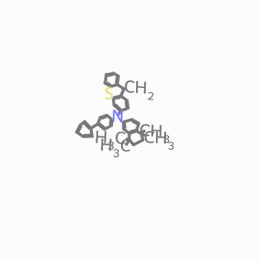 C=C1c2ccccc2Sc2cc(N(c3ccc(-c4ccccc4)cc3)c3ccc4c(c3)C(C)(C)CCC4(C)C)ccc21